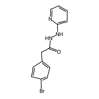 O=C(Cc1ccc(Br)cc1)NNc1ccccn1